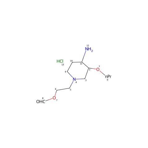 CCCOC1CN(CCOC=O)CCC1N.Cl